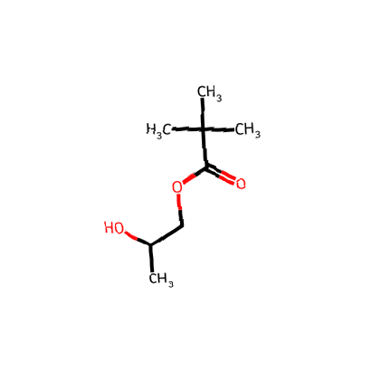 CC(O)COC(=O)C(C)(C)C